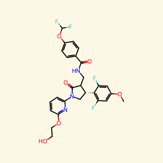 COc1cc(F)c([C@@H]2CN(c3cccc(OCCO)n3)C(=O)C2CNC(=O)c2ccc(OC(F)F)cc2)c(F)c1